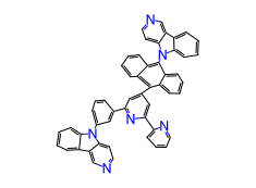 c1ccc(-c2cc(-c3c4ccccc4c(-n4c5ccccc5c5cnccc54)c4ccccc34)cc(-c3cccc(-n4c5ccccc5c5cnccc54)c3)n2)nc1